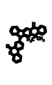 CC1(C)c2ccccc2Nc2cc3c4ccccc4n(-c4ccc5c(c4)c(=O)oc4ccccc45)c3cc21